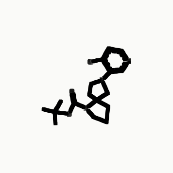 CC(C)(C)OC(=O)N1CCCC12CCN(c1cnccc1Cl)C2